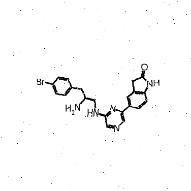 NC(CNc1cncc(-c2ccc3c(c2)CC(=O)N3)n1)Cc1ccc(Br)cc1